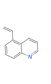 C=Cc1cccc2ncccc12